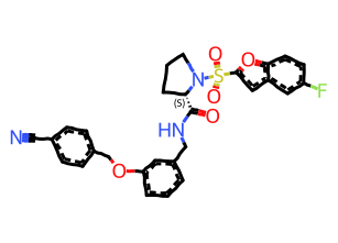 N#Cc1ccc(COc2cccc(CNC(=O)[C@@H]3CCCN3S(=O)(=O)c3cc4cc(F)ccc4o3)c2)cc1